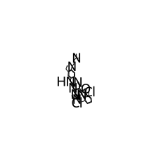 CN(C)CCN1CCc2cc(Nc3ncc4c(=O)n(-c5c(Cl)cccc5Cl)c5nccn5c4n3)ccc21